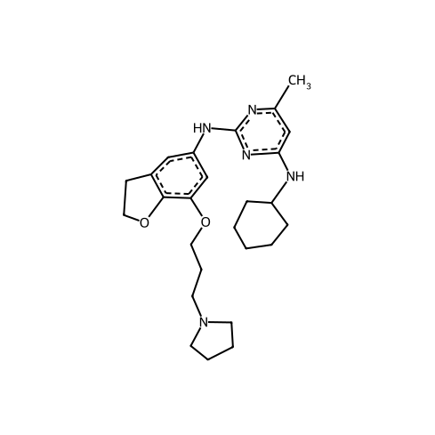 Cc1cc(NC2CCCCC2)nc(Nc2cc3c(c(OCCCN4CCCC4)c2)OCC3)n1